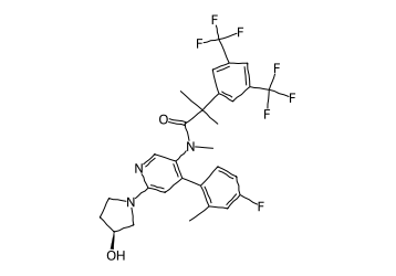 Cc1cc(F)ccc1-c1cc(N2CC[C@H](O)C2)ncc1N(C)C(=O)C(C)(C)c1cc(C(F)(F)F)cc(C(F)(F)F)c1